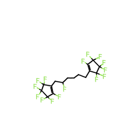 FC1=C(CCCCC(F)CC2=C(F)C(F)(F)C(F)(F)C2(F)F)C(F)(F)C(F)(F)C1(F)F